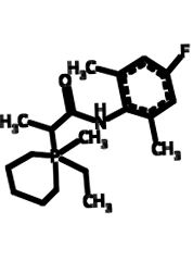 CCP1(C)(C(C)C(=O)Nc2c(C)cc(F)cc2C)CCCCC1